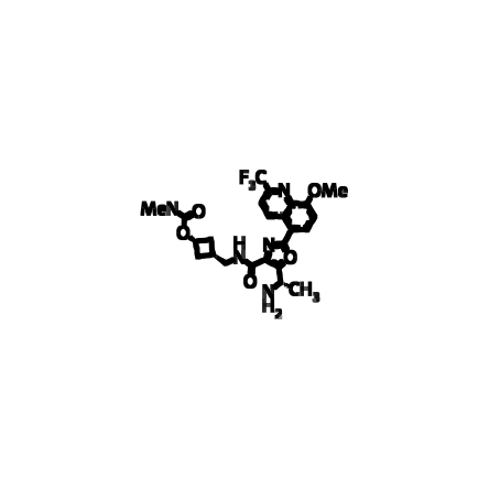 CNC(=O)O[C@H]1C[C@@H](CNC(=O)c2nc(-c3ccc(OC)c4nc(C(F)(F)F)ccc34)oc2[C@H](C)N)C1